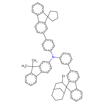 CCC1CC2CCCC(C2)C12c1ccccc1-c1ccc(-c3cccc(N(c4ccc(-c5ccc6c(c5)C5(CCCC5)c5ccccc5-6)cc4)c4ccc5c(c4)C(C)(C)c4ccccc4-5)c3)cc12